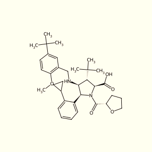 COc1ccc(C(C)(C)C)cc1CN[C@H]1[C@H](C(C)(C)C)[C@@H](C(=O)O)N(C(=O)[C@@H]2CCCO2)[C@H]1c1ccccc1C1CC1